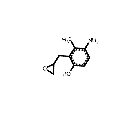 Cc1c(N)ccc(O)c1CC1CO1